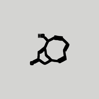 O=C1C=C2CC(C#C/C=C/C#CC2O)C1